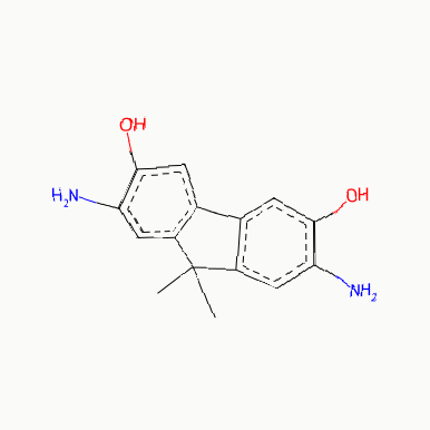 CC1(C)c2cc(N)c(O)cc2-c2cc(O)c(N)cc21